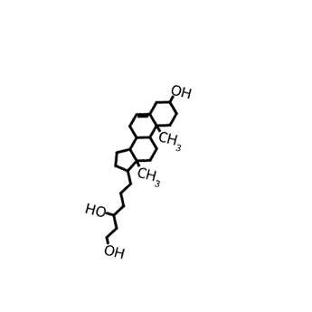 CC12CCC(O)CC1=CCC1C2CCC2(C)C(CCCC(O)CCO)CCC12